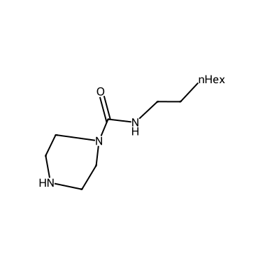 CCCCCCCCNC(=O)N1CCNCC1